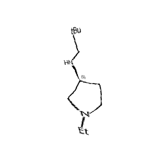 CCN1CC[C@H](NCC(C)(C)C)C1